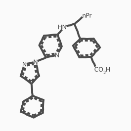 CCCC(Nc1ccc(-n2cc(-c3ccccc3)cn2)nc1)c1ccc(C(=O)O)cc1